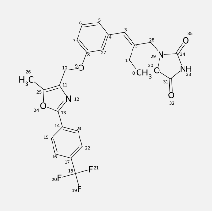 CC/C(=C\c1cccc(OCc2nc(-c3ccc(C(F)(F)F)cc3)oc2C)c1)Cn1oc(=O)[nH]c1=O